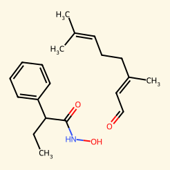 CC(C)=CCCC(C)=CC=O.CCC(C(=O)NO)c1ccccc1